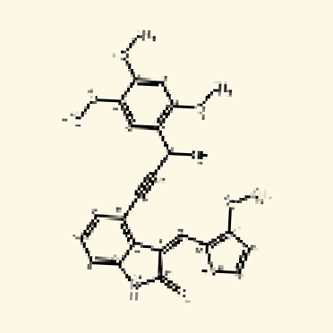 COc1cc(OC)c(C(O)C#Cc2cccc3c2C(=Cc2[nH]ccc2OC)C(=O)N3)cc1OC